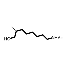 CC(=O)NCCCCCC[C@@H](C)CO